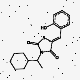 CC(C1CCCCC1)N1C(=O)S/C(=C\c2ccccc2O)C1=O